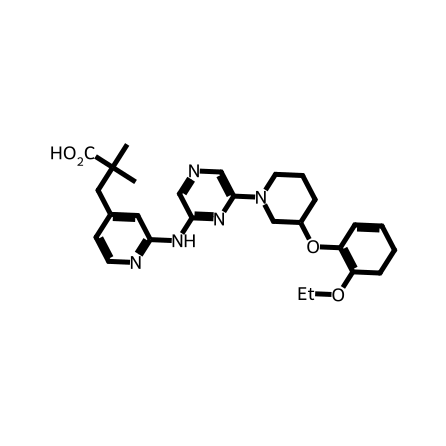 CCOC1=C(OC2CCCN(c3cncc(Nc4cc(CC(C)(C)C(=O)O)ccn4)n3)C2)C=CCC1